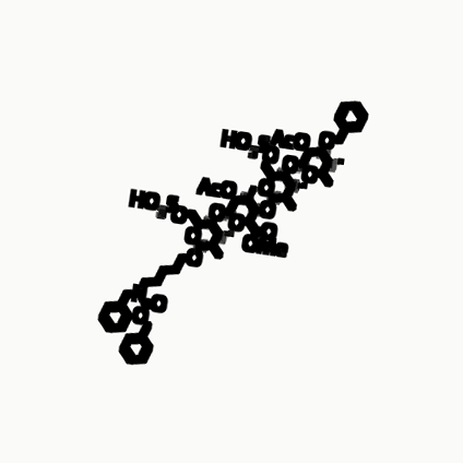 COC(=O)C1O[C@@H](O[C@@H]2C(COS(=O)(=O)O)O[C@H](OCCCCCN(Cc3ccccc3)C(=O)OCc3ccccc3)C(C)[C@H]2C)C(OC(C)=O)[C@@H](C)[C@@H]1O[C@H]1OC(COS(=O)(=O)O)[C@@H](O[C@@H]2OC(C)[C@@H](C)[C@@H](OCc3ccccc3)C2OC(C)=O)[C@H](C)C1C